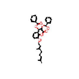 CC(C)=CCC/C(C)=C/COc1cccc2c(OC(=O)c3ccccc3)c(OC(=O)c3ccccc3)c(=O)oc12